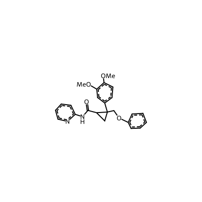 COc1ccc(C2(COc3ccccc3)CC2C(=O)Nc2ccccn2)cc1OC